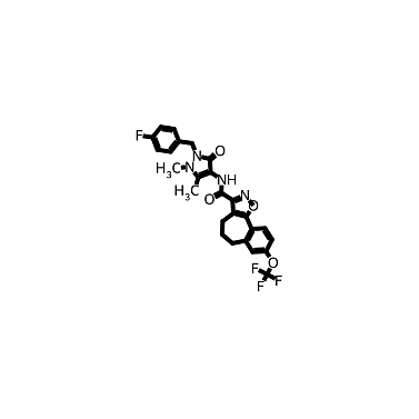 Cc1c(NC(=O)c2noc3c2CCCc2cc(OC(F)(F)F)ccc2-3)c(=O)n(Cc2ccc(F)cc2)n1C